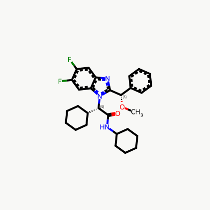 CO[C@@H](c1ccccc1)c1nc2cc(F)c(F)cc2n1[C@H](C(=O)NC1CCCCC1)C1CCCCC1